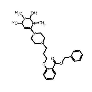 CN1C(N2CCN(CCCOc3ccccc3C(=O)OCc3ccccc3)CC2)=CC(O)N(C)C1O